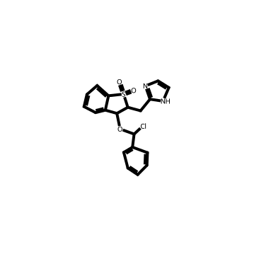 O=S1(=O)c2ccccc2C(OC(Cl)c2ccccc2)C1Cc1ncc[nH]1